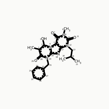 Cc1c(O)n2c3c(=O)n(C)c(=O)n(CC(C)C)c3nc2n(Cc2ccccc2)c1=O